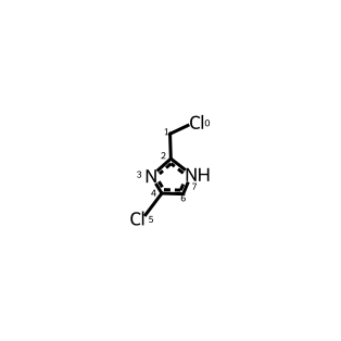 ClCc1nc(Cl)c[nH]1